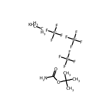 CC.CC(C)(C)OC(N)=O.F[B-](F)(F)F.F[B-](F)(F)F.F[B-](F)(F)F.[KH]